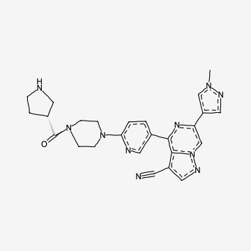 Cn1cc(-c2cn3ncc(C#N)c3c(-c3ccc(N4CCN(C(=O)[C@@H]5CCNC5)CC4)nc3)n2)cn1